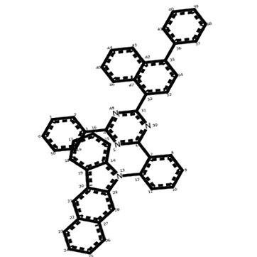 c1ccc(-c2nc(-c3ccccc3-n3c4ccccc4c4cc5ccccc5cc43)nc(-c3ccc(-c4ccccc4)c4ccccc34)n2)cc1